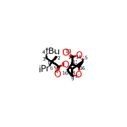 CC(C)C(C)(CC(C)(C)C)C(=O)OC1C2CC3C(=O)OC1C3O2